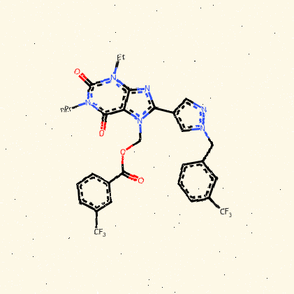 CCCn1c(=O)c2c(nc(-c3cnn(Cc4cccc(C(F)(F)F)c4)c3)n2COC(=O)c2cccc(C(F)(F)F)c2)n(CC)c1=O